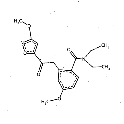 CCN(CC)C(=O)c1ccc(OC)cc1CC(=O)c1cc(OC)no1